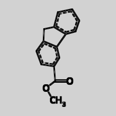 COC(=O)c1ccc2c(c1)-c1ccccc1C2